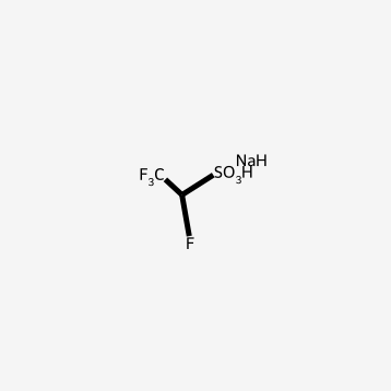 O=S(=O)(O)C(F)C(F)(F)F.[NaH]